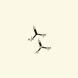 NC(=O)O.O=[N+]([O-])O